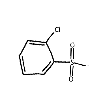 [CH2]S(=O)(=O)c1ccccc1Cl